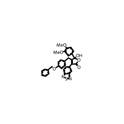 COc1ccc(C2(O)OC(=O)C(c3ccc4nsnc4c3)=C2Cc2ccc(OCc3ccccc3)cc2)cc1OC